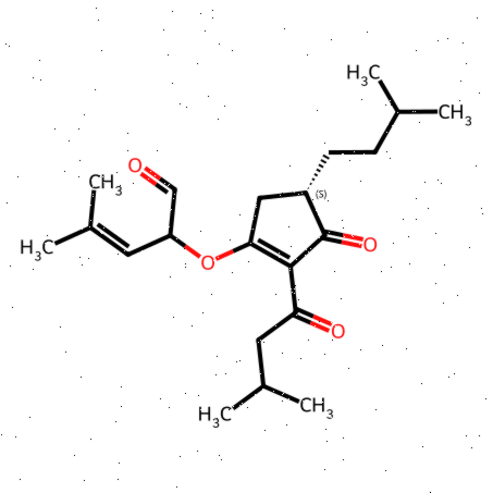 CC(C)=CC(C=O)OC1=C(C(=O)CC(C)C)C(=O)[C@@H](CCC(C)C)C1